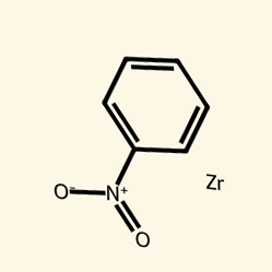 O=[N+]([O-])c1ccccc1.[Zr]